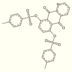 Cc1ccc(S(=O)(=O)Oc2ccc(OS(=O)(=O)c3ccc(C)cc3)c3c2C(=O)c2cccnc2C3=O)cc1